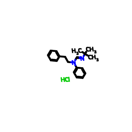 CC(C)(C)N=CN(CCc1ccccc1)c1ccccc1.Cl